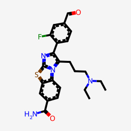 CCN(CC)CCCc1c(-c2ccc(C=O)cc2F)nc2sc3cc(C(N)=O)ccc3n12